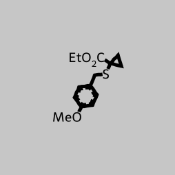 CCOC(=O)C1(SCc2ccc(OC)cc2)CC1